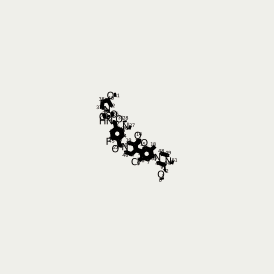 COC[C@H]1CN(c2cc(Cl)c3c4c(c(=O)oc3c2C)CN(C(=O)c2cc(N(C)C)c(C(=O)NS(=O)(=O)N3CC[C@@H](OC)C3)cc2F)CC4)CCN1C